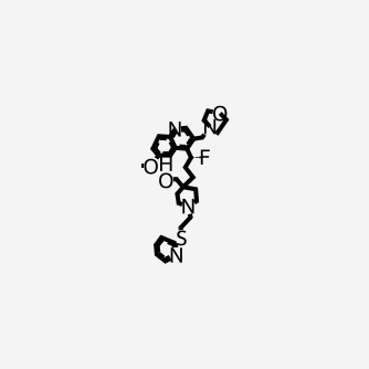 COc1ccc2ncc(CN3CCOCC3)c([C@H](F)CCC3(CO)CCN(CCSc4ccccn4)CC3)c2c1